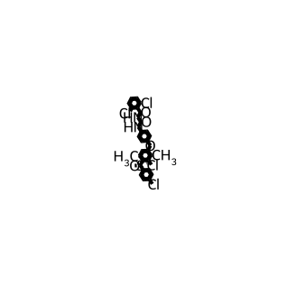 Cc1cc(Oc2ccc(NC(=O)NC(=O)c3c(Cl)cccc3Cl)cc2)c(C)c(Cl)c1[S+]([O-])c1ccc(Cl)cc1